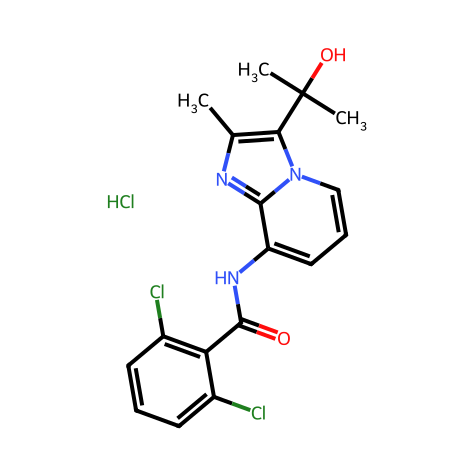 Cc1nc2c(NC(=O)c3c(Cl)cccc3Cl)cccn2c1C(C)(C)O.Cl